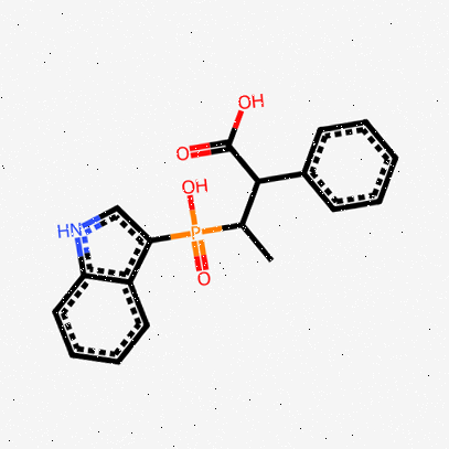 CC(C(C(=O)O)c1ccccc1)P(=O)(O)c1c[nH]c2ccccc12